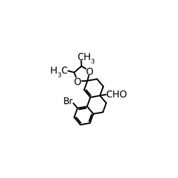 CC1OC2(C=C3c4c(Br)cccc4CCC3(C=O)CC2)OC1C